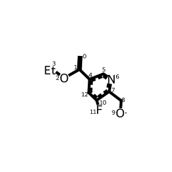 C=C(OCC)c1cnc(C[O])c(F)c1